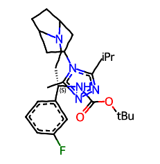 Cc1nnc(C(C)C)n1C1CC2CCC(C1)N2CC[C@H](NC(=O)OC(C)(C)C)c1cccc(F)c1